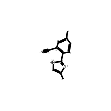 Cc1ccc(-c2nc(C)c[nH]2)c(C#N)c1